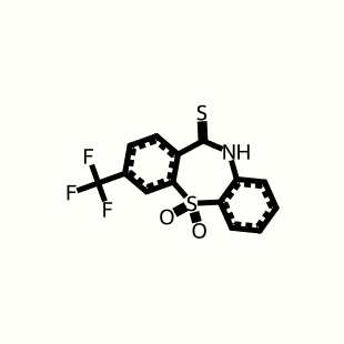 O=S1(=O)c2ccccc2NC(=S)c2ccc(C(F)(F)F)cc21